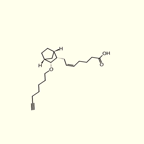 C#CCCCCCO[C@@H]1[C@@H]2CC[C@@H](C2)[C@@H]1C/C=C\CCCC(=O)O